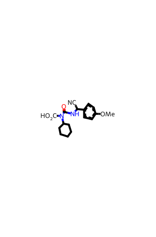 COc1ccc(C(C#N)NC(=O)N(C(=O)O)C2CCCCC2)cc1